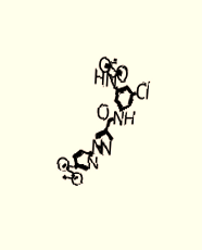 CS(=O)(=O)Nc1cc(Cl)cc(NC(=O)c2cnn(-c3ccc(S(C)(=O)=O)cn3)c2)c1